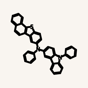 c1ccc(N(c2ccc3sc4c5ccccc5ccc4c3c2)c2ccc3c(c2)c2ccccc2n3-c2ccccc2)cc1